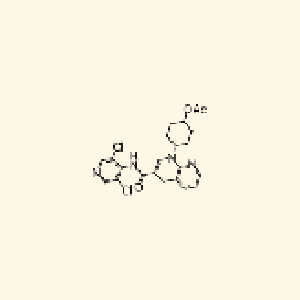 CC(=O)O[C@H]1CC[C@H](N2C=C(C(=O)Nc3c(Cl)cncc3Cl)Cc3cccnc32)CC1